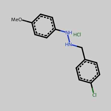 COc1ccc(NNCc2ccc(Cl)cc2)cc1.Cl